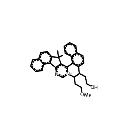 COCCC1C(CCO)c2ccc3ccccc3c2-c2c3c(nc[n+]21)-c1c(ccc2ccccc12)C3(C)C